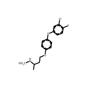 CC(CCOc1ccc(Oc2ccc(F)c(Cl)c2)cc1)NC(=O)O